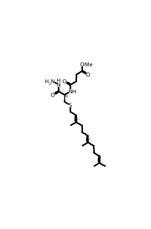 COC(=O)CCC(=O)N[C@@H](CSC/C=C(\C)CC/C=C(\C)CCC=C(C)C)C(=O)NN